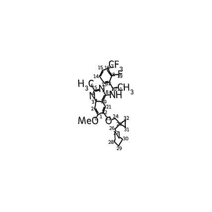 COc1cc2nc(C)nc(N[C@H](C)c3cccc(C(F)(F)F)c3F)c2cc1OCC1(CN2CCC2)CC1